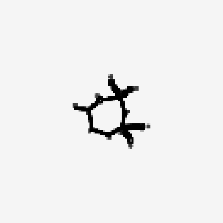 CC1CCS(=O)(=O)CS(=O)(=O)O1